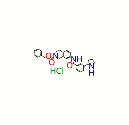 Cl.O=C(Nc1ccc2c(c1)CN(C(=O)OCc1ccccc1)CC2)c1cccc(C2CCCN2)c1